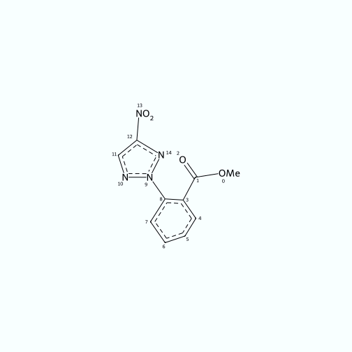 COC(=O)c1ccccc1-n1ncc([N+](=O)[O-])n1